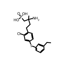 CCc1cccc(Sc2ccc(CCC(C)(N)CP(=O)(O)O)c(Cl)c2)c1